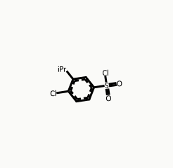 CC(C)c1cc(S(=O)(=O)Cl)ccc1Cl